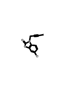 O=c1oc2cc(Cl)ccc2n1CC#CI